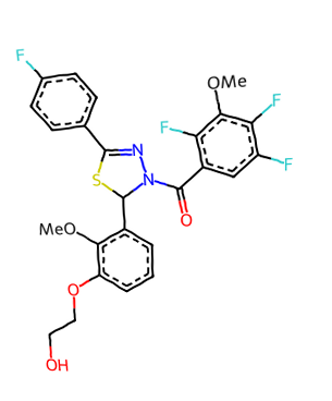 COc1c(OCCO)cccc1C1SC(c2ccc(F)cc2)=NN1C(=O)c1cc(F)c(F)c(OC)c1F